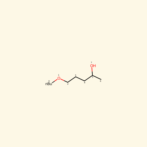 CCCCOCCCC(C)O